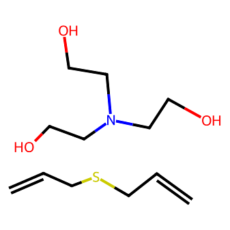 C=CCSCC=C.OCCN(CCO)CCO